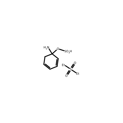 CCS(=O)(=O)CC.NC1(OS(=O)(=O)O)C=CC=CC1